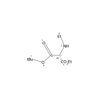 CCN[C@H](C(=O)OCC)C(=O)OC(C)(C)C